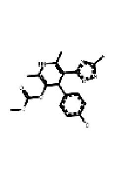 COC(=O)OC1=C(C)NC(C)=C(c2nc(C)no2)C1c1ccc(Cl)cc1